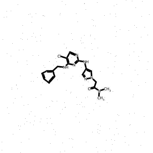 CN(C)C(=O)Cn1cc(Nc2ncc(Cl)c(NCc3ccccc3)n2)cn1